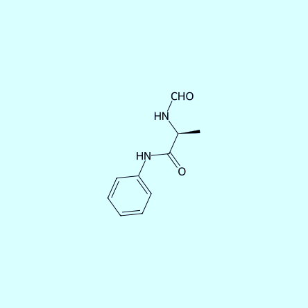 C[C@H](NC=O)C(=O)Nc1ccccc1